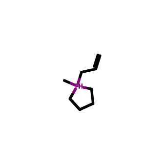 C=CC[PH]1(C)CCCC1